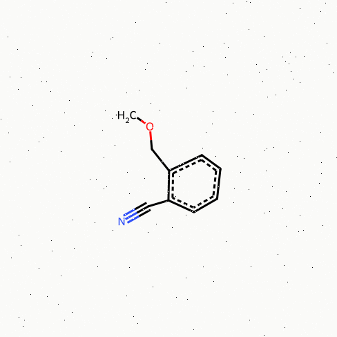 [CH2]OCc1ccccc1C#N